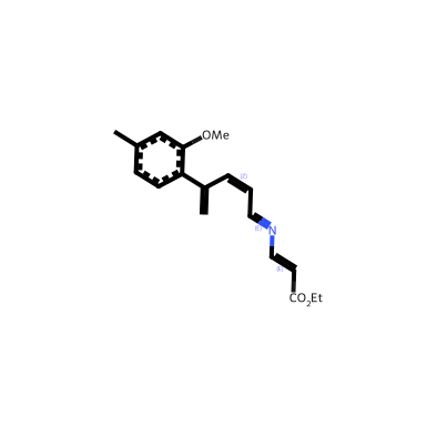 C=C(\C=C/C=N/C=C/C(=O)OCC)c1ccc(C)cc1OC